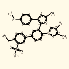 Cc1nc(-c2ccc(OC(F)(F)F)cc2)c(-c2cc(-c3ccc(CO)c(S(C)(=O)=O)c3)ccc2-n2cc(Cl)c(C)n2)o1